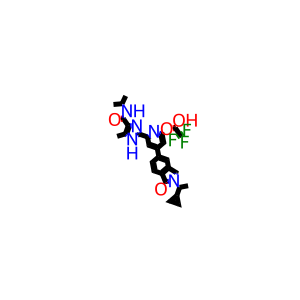 Cc1[nH]c(-c2cc(-c3ccc4c(c3)CN(C(C)C3CC3)C4=O)ccn2)nc1C(=O)NC(C)C.O=C(O)C(F)(F)F